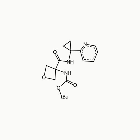 CC(C)(C)OC(=O)NC1(C(=O)NC2(c3ccccn3)CC2)COC1